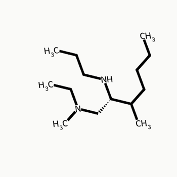 CCCCC(C)[C@H](CN(C)CC)NCCC